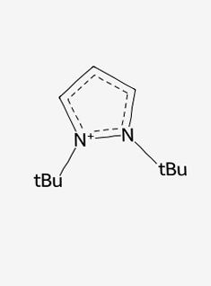 CC(C)(C)n1ccc[n+]1C(C)(C)C